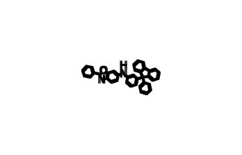 c1ccc(-c2nc3ccc(Nc4cccc(C5(c6ccccc6)c6ccccc6-c6ccccc65)c4)cc3o2)cc1